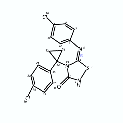 O=c1[nH]s/c(=N/c2ccc(Cl)cc2)n1C1(c2ccc(Cl)cc2)CC1